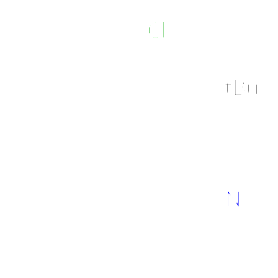 CC(C)(C)c1nccc2cccc(Cl)c12